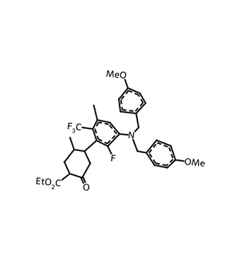 CCOC(=O)C1CC(C)C(c2c(F)c(N(Cc3ccc(OC)cc3)Cc3ccc(OC)cc3)cc(C)c2C(F)(F)F)CC1=O